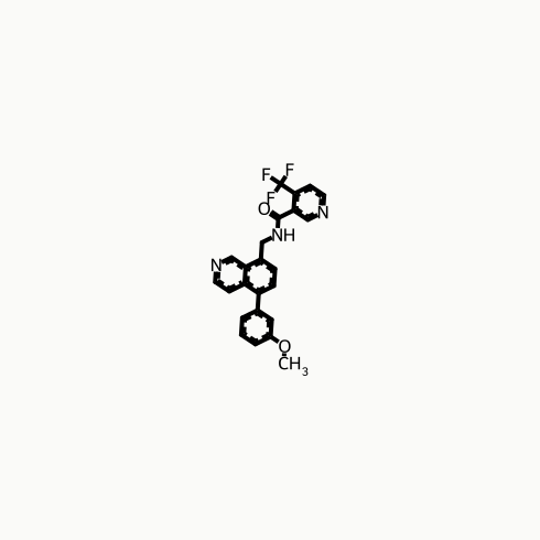 COc1cccc(-c2ccc(CNC(=O)c3cnccc3C(F)(F)F)c3cnccc23)c1